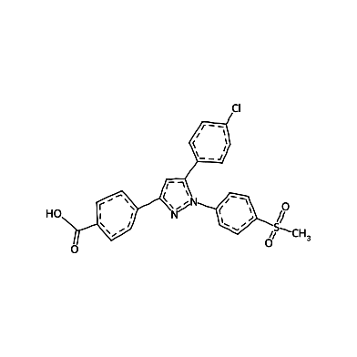 CS(=O)(=O)c1ccc(-n2nc(-c3ccc(C(=O)O)cc3)cc2-c2ccc(Cl)cc2)cc1